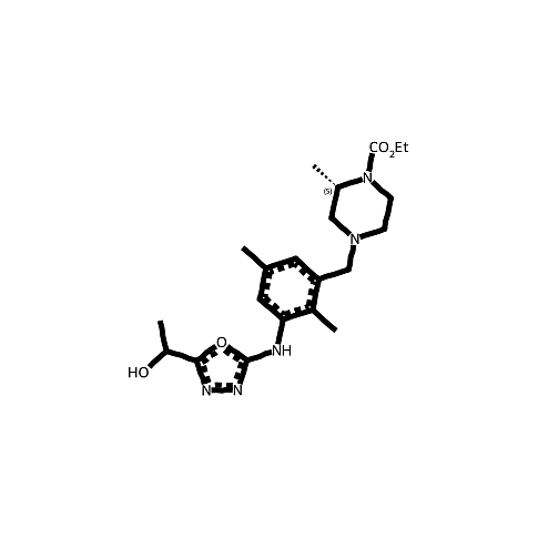 CCOC(=O)N1CCN(Cc2cc(C)cc(Nc3nnc(C(C)O)o3)c2C)C[C@@H]1C